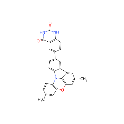 Cc1ccc2c(c1)Oc1cc(C)cc3c4cc(-c5ccc6[nH]c(=O)[nH]c(=O)c6c5)ccc4n-2c13